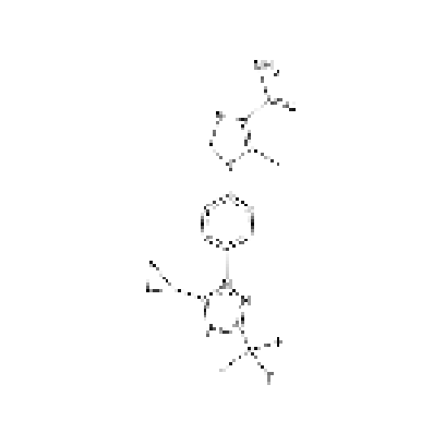 CC1=C(C(N)=O)SCN1c1ccc(-n2nc(C(F)(F)F)cc2C2CC2)cc1